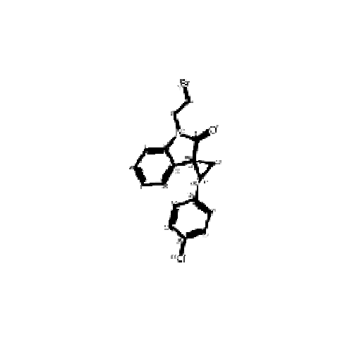 O=C1N(CCBr)c2ccccc2[C@]12C[C@H]2c1ccc(Cl)cc1